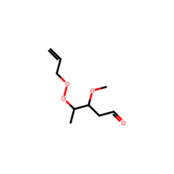 C=CCOOC(C)C(CC=O)OC